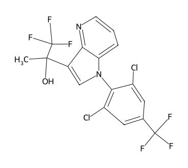 CC(O)(c1cn(-c2c(Cl)cc(C(F)(F)F)cc2Cl)c2cccnc12)C(F)(F)F